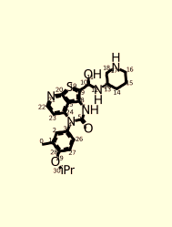 Cc1cc(N2C(=O)Nc3c(C(O)N[C@@H]4CCCNC4)sc4nccc2c34)ccc1OC(C)C